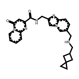 O=C(NCc1cn2cc(CNCC3CC4(CC4)C3)ccc2n1)c1cc(=O)n2ccccc2n1